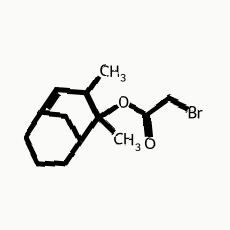 CC1C=C2CCCC(C2)C1(C)OC(=O)CBr